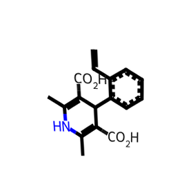 C=Cc1ccccc1C1C(C(=O)O)=C(C)NC(C)=C1C(=O)O